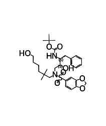 CC(C)(CCCCO)CN(C[C@H](O)[C@H](Cc1ccccc1)NC(=O)OC(C)(C)C)S(=O)(=O)c1ccc2c(c1)OCO2